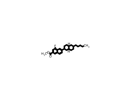 CCCCCC1CC[C@@H]2CC(c3ccc4cc(C(=O)OC)cc(F)c4c3)CC[C@H]2C1